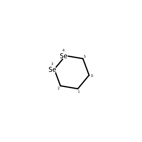 C1CC[Se][Se]C1